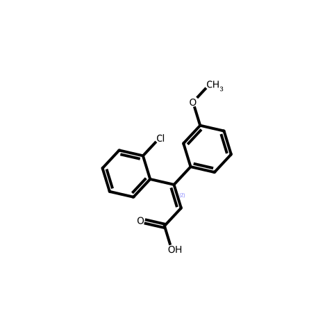 COc1cccc(/C(=C/C(=O)O)c2ccccc2Cl)c1